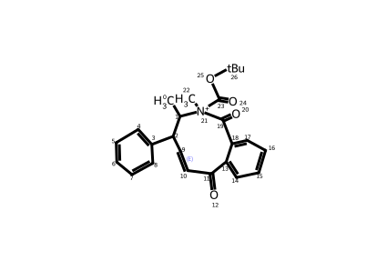 CC1C(c2ccccc2)/C=C/C(=O)c2ccccc2C(=O)[N+]1(C)C(=O)OC(C)(C)C